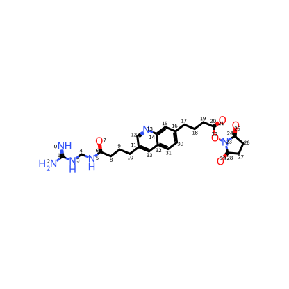 N=C(N)NCNC(=O)CCCc1cnc2cc(CCCC(=O)ON3C(=O)CCC3=O)ccc2c1